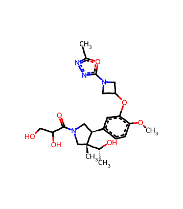 COc1ccc([C@@H]2CN(C(=O)C(O)CO)C[C@@]2(C)[C@@H](C)O)cc1OC1CN(c2nnc(C)o2)C1